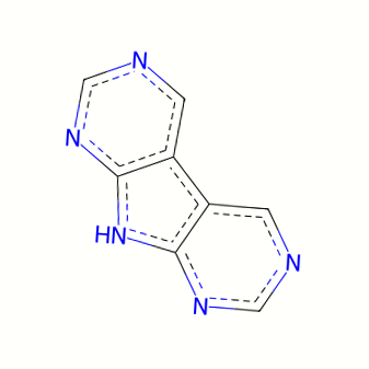 c1ncc2c(n1)[nH]c1ncncc12